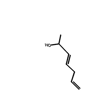 C=CCC=CC(C)O